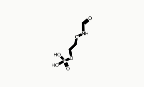 O=CNOCCOP(=O)(O)O